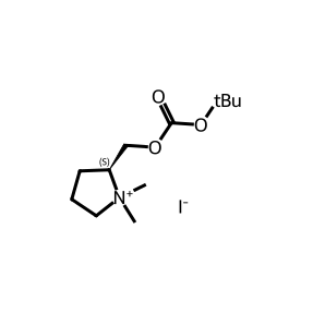 CC(C)(C)OC(=O)OC[C@@H]1CCC[N+]1(C)C.[I-]